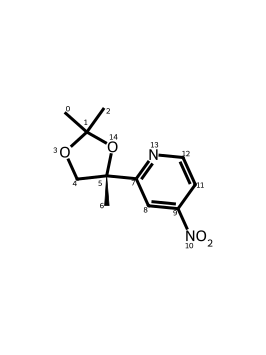 CC1(C)OC[C@@](C)(c2cc([N+](=O)[O-])ccn2)O1